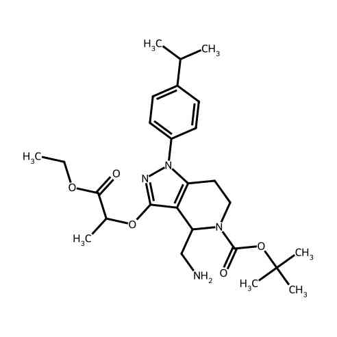 CCOC(=O)C(C)Oc1nn(-c2ccc(C(C)C)cc2)c2c1C(CN)N(C(=O)OC(C)(C)C)CC2